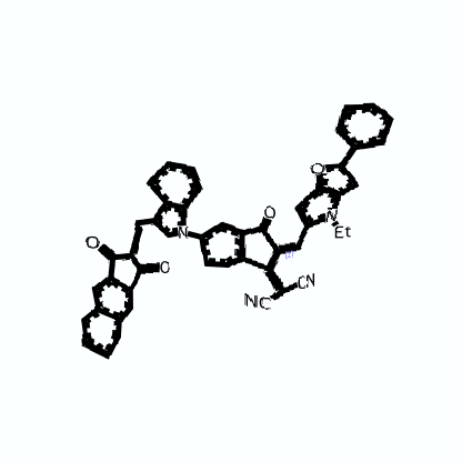 CCn1c(/C=C2\C(=O)c3cc(-n4cc(C=C5C(=O)c6cc7ccccc7cc6C5=O)c5ccccc54)ccc3C2=C(C#N)C#N)cc2oc(-c3ccccc3)cc21